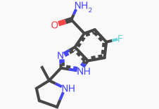 CC1(c2nc3c(C(N)=O)cc(F)cc3[nH]2)CCCN1